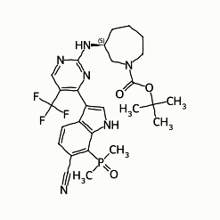 CC(C)(C)OC(=O)N1CCCC[C@H](Nc2ncc(C(F)(F)F)c(-c3c[nH]c4c(P(C)(C)=O)c(C#N)ccc34)n2)C1